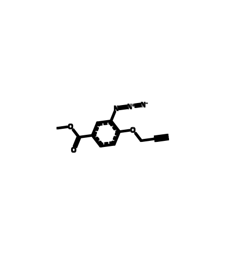 C#CCOc1ccc(C(=O)OC)cc1N=[N+]=[N-]